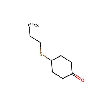 CCCCCCCCSC1CCC(=O)CC1